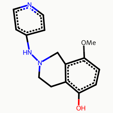 COc1ccc(O)c2c1CN(Nc1ccncc1)CC2